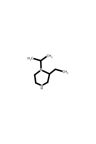 CCC1CNCCN1C(C)C